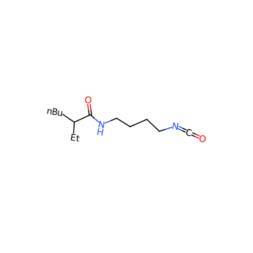 CCCCC(CC)C(=O)NCCCCN=C=O